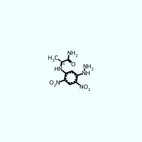 C[C@H](Nc1cc(NN)c([N+](=O)[O-])cc1[N+](=O)[O-])C(N)=O